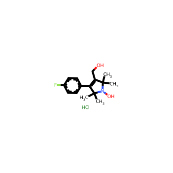 CC1(C)C(CO)=C(c2ccc(F)cc2)C(C)(C)N1O.Cl